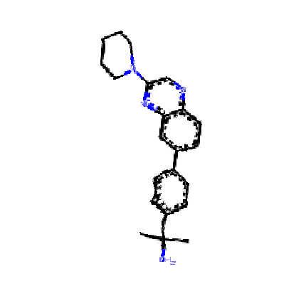 CC(C)(N)c1ccc(-c2ccc3ncc(N4CCCCC4)nc3c2)cc1